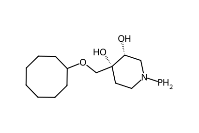 O[C@@H]1CN(P)CC[C@@]1(O)COC1CCCCCCC1